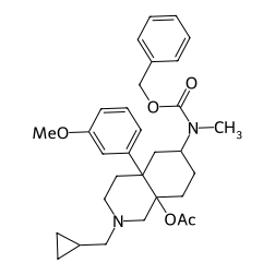 COc1cccc(C23CCN(CC4CC4)CC2(OC(C)=O)CCC(N(C)C(=O)OCc2ccccc2)C3)c1